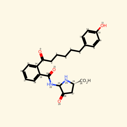 O=C(CCCCCc1ccc(O)cc1)c1ccccc1C(=O)NC1N[C@H](C(=O)O)CC1=O